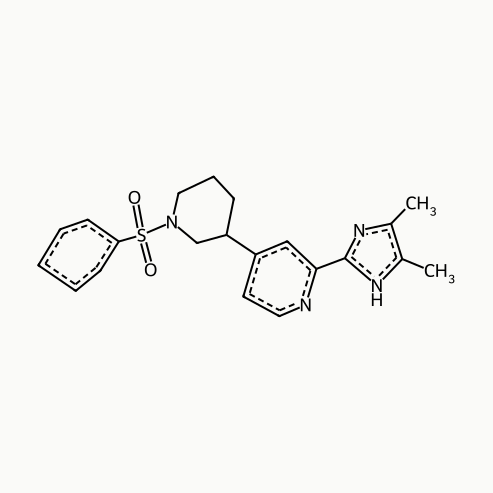 Cc1nc(-c2cc(C3CCCN(S(=O)(=O)c4ccccc4)C3)ccn2)[nH]c1C